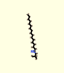 [CH2]CCCCCCCCCCCCCCCNCC(C)C